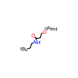 CCCCCOCCC(=O)NCCC(C)(C)C